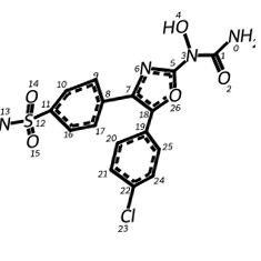 NC(=O)N(O)c1nc(-c2ccc(S(N)(=O)=O)cc2)c(-c2ccc(Cl)cc2)o1